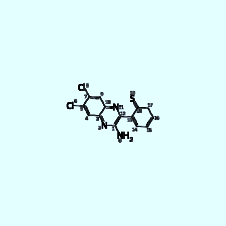 Nc1nc2cc(Cl)c(Cl)cc2nc1C1=CC=CCC1=S